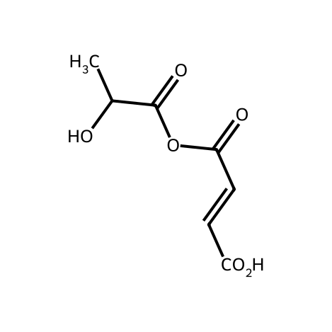 CC(O)C(=O)OC(=O)/C=C/C(=O)O